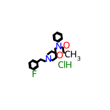 CC1OC2(CCN(CCc3cccc(F)c3)CC2)CN(c2ccccc2)C1=O.Cl